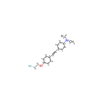 CN(C)c1ccc(C#Cc2ccc(OCCF)cc2)cc1